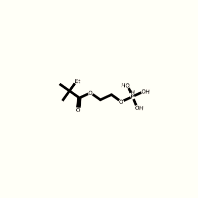 CCC(C)(C)C(=O)OCCO[PH](O)(O)O